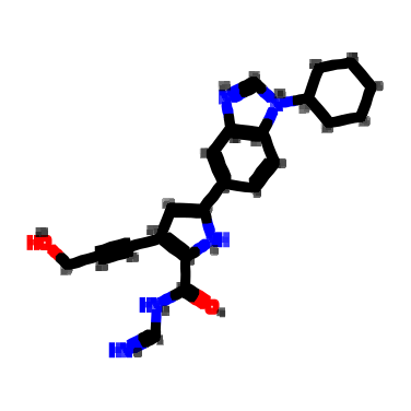 N=CNC(=O)c1[nH]c(-c2ccc3c(c2)ncn3C2CCCCC2)cc1C#CCO